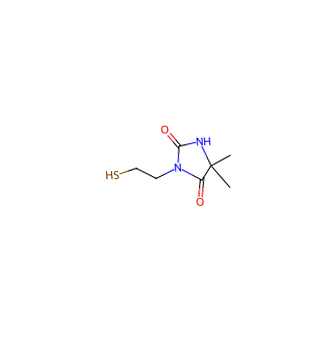 CC1(C)NC(=O)N(CCS)C1=O